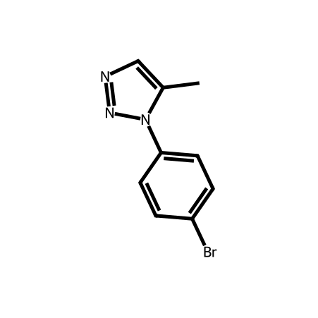 Cc1cnnn1-c1ccc(Br)cc1